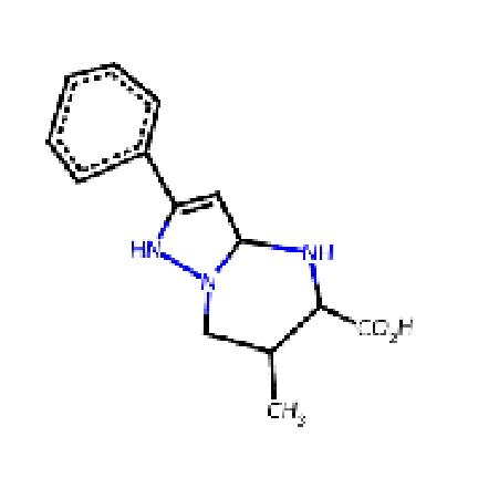 CC1CN2NC(c3ccccc3)=CC2NC1C(=O)O